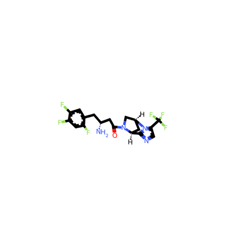 N[C@@H](CC(=O)N1C[C@@H]2C[C@H]1c1ncc(C(F)(F)F)n12)Cc1cc(F)c(F)cc1F